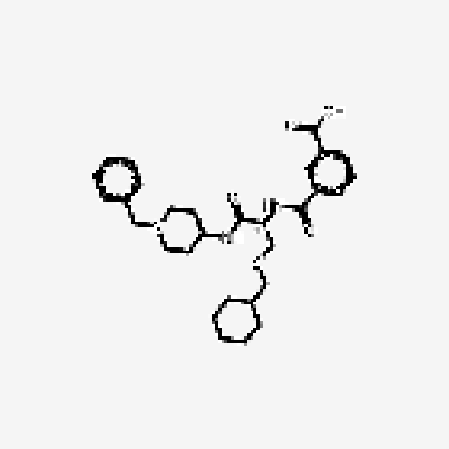 O=C(O)c1cccc(C(=O)N[C@@H](CSCC2CCCCC2)C(=O)NC2CCN(Cc3ccccc3)CC2)c1